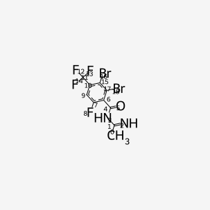 CC(=N)NC(=O)c1c(F)cc(C(F)(F)F)c(Br)c1Br